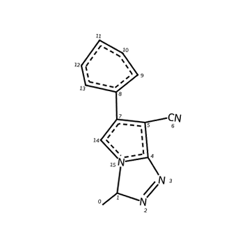 CC1N=Nc2c(C#N)c(-c3ccccc3)cn21